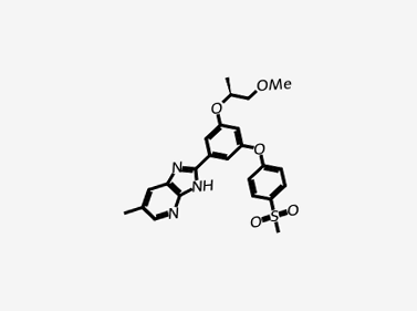 COC[C@H](C)Oc1cc(Oc2ccc(S(C)(=O)=O)cc2)cc(-c2nc3cc(C)cnc3[nH]2)c1